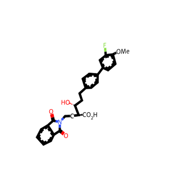 COc1ccc(-c2ccc(CC[C@@H](O)[C@H](CCN3C(=O)c4ccccc4C3=O)C(=O)O)cc2)cc1F